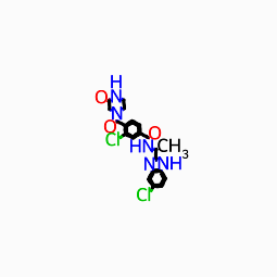 CC(NC(=O)c1ccc(C(=O)N2CCNC(=O)C2)c(Cl)c1)c1nc2cc(Cl)ccc2[nH]1